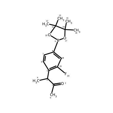 CC(=O)C(C)c1ccc(B2OC(C)(C)C(C)(C)O2)cc1F